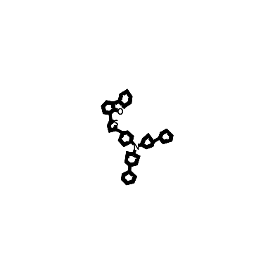 c1ccc(-c2ccc(N(c3ccc(-c4ccccc4)cc3)c3ccc(-c4ccc(-c5cccc6c5oc5ccccc56)s4)cc3)cc2)cc1